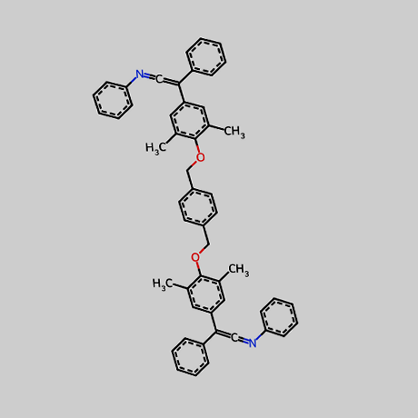 Cc1cc(C(=C=Nc2ccccc2)c2ccccc2)cc(C)c1OCc1ccc(COc2c(C)cc(C(=C=Nc3ccccc3)c3ccccc3)cc2C)cc1